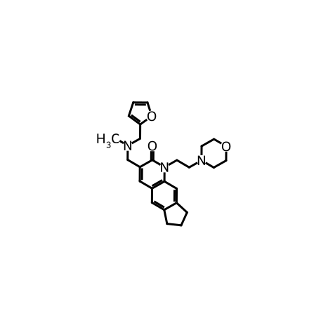 CN(Cc1ccco1)Cc1cc2cc3c(cc2n(CCN2CCOCC2)c1=O)CCC3